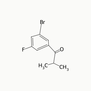 CC(C)C(=O)c1cc(F)cc(Br)c1